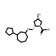 CCCC(=O)N1C[C@H](O)C[C@H]1COC1CCCCC(C2CCCC2)C1